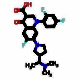 CC(C1CCN(c2cc3c(cc2F)c(=O)c(C(=O)O)cn3-c2ccc(F)cc2F)C1)N(C)C